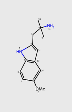 COc1ccc2[nH]c(CC(C)(C)N)cc2c1